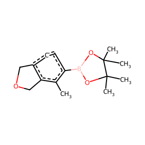 Cc1c(B2OC(C)(C)C(C)(C)O2)ccc2c1COC2